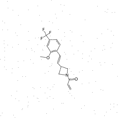 C=CC(=O)N1CC(C=Cc2ccc(C(F)(F)F)cc2OC)C1